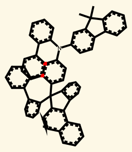 CC1(C)c2ccccc2-c2ccc(N(c3ccc4c(c3)-c3ccccc3-c3ccccc3C43c4ccccc4-c4c3c3ccccc3c3ccccc43)c3ccccc3-c3ccccc3)cc21